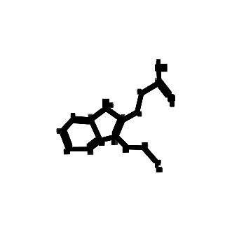 O=C(O)CCc1[nH]c2ccccc2c1CCF